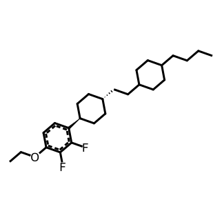 CCCCC1CCC(CC[C@H]2CC[C@H](c3ccc(OCC)c(F)c3F)CC2)CC1